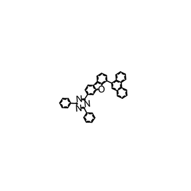 c1ccc(-c2nc(-c3ccccc3)nc(-c3ccc4c(c3)oc3c(-c5cc6ccccc6c6ccccc56)cccc34)n2)cc1